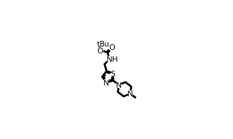 CN1CCN(c2ncc(CNC(=O)OC(C)(C)C)s2)CC1